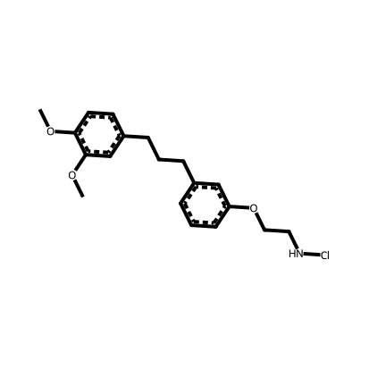 COc1ccc(CCCc2cccc(OCCNCl)c2)cc1OC